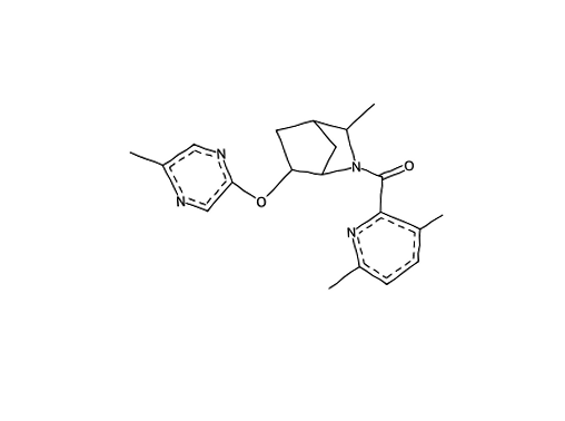 Cc1cnc(OC2CC3CC2N(C(=O)c2nc(C)ccc2C)C3C)cn1